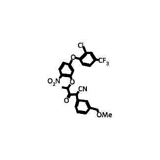 COCc1cccc(C(C#N)C(=O)C(C)Oc2cc(Oc3ccc(C(F)(F)F)cc3Cl)ccc2[N+](=O)[O-])c1